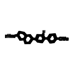 CCCCCCC1CCC2CC(c3ccc(-c4ccc(OC)cc4)c(F)c3)CCC2C1